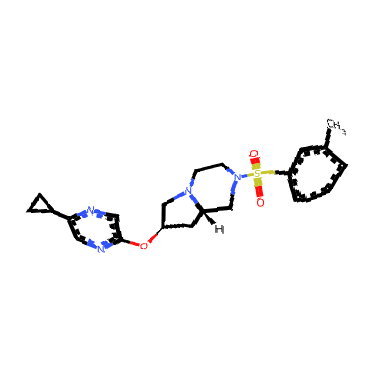 Cc1cccc(S(=O)(=O)N2CCN3C[C@H](Oc4cnc(C5CC5)cn4)C[C@H]3C2)c1